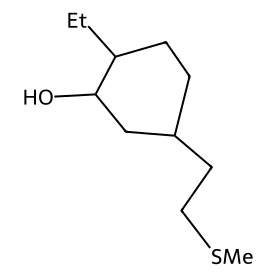 CCC1CCC(CCSC)CC1O